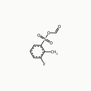 Cc1c(F)cccc1S(=O)(=O)OC=O